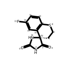 O=C1NC(=O)[C@@]2(CCSc3ccc(F)cc32)N1